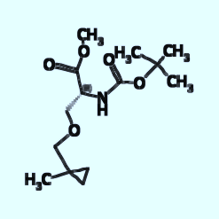 COC(=O)[C@@H](COCC1(C)CC1)NC(=O)OC(C)(C)C